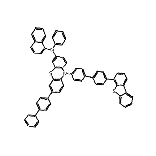 c1ccc(-c2ccc(-c3ccc4c(c3)Sc3cc(N(c5ccccc5)c5cccc6ccccc56)ccc3N4c3ccc(-c4ccc(-c5cccc6c5sc5ccccc56)cc4)cc3)cc2)cc1